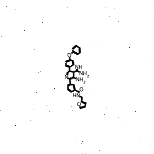 N=C(N)C1C(N)=C(c2cccc(C(=O)NCc3ccco3)c2)N=CC1c1ccc(Oc2ccccc2)cc1